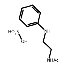 CC(=O)NCCNc1ccccc1.O=S(=O)(O)O